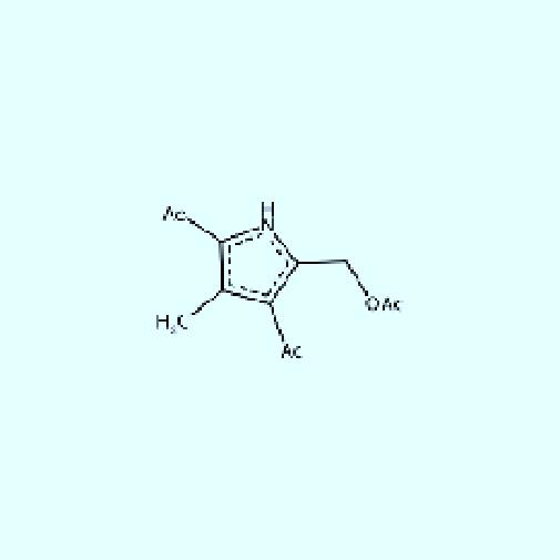 CC(=O)OCc1[nH]c(C(C)=O)c(C)c1C(C)=O